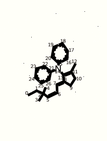 CCC(C)(C)/C=C\C=C1/CCC(C)=C1N(c1ccccc1)c1ccccc1